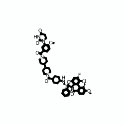 COc1ccc(C(=O)N2CCC(C3CCN(C(=O)C4CCC(NC[C@]5(c6ccccc6)Oc6cc(F)c(Cl)c(-c7c(C(N)=O)ccc(OC)c7F)c6[C@@H]5C)CC4)CC3)CC2)cc1N1CCC(=O)NC1=O